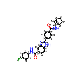 O=C(Nc1ccc(F)cc1)c1ccc2[nH]c(-c3ccc(C(=O)NC4CC5CCC4C5)cc3)nc2c1